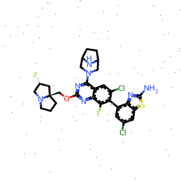 Nc1nc2c(-c3c(Cl)cc4c(N5CC6CCC(C5)N6)nc(OC[C@@]56CCCN5C[C@H](F)C6)nc4c3F)cc(Cl)cc2s1